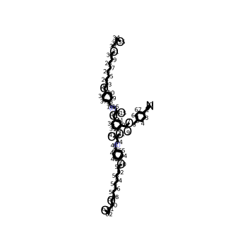 N#Cc1ccc(COC(=O)c2cc(OC(=O)/C=C/c3ccc(OCCCCCCCCOCC4CO4)cc3)ccc2OC(=O)/C=C/c2ccc(OCCCCCCCCOCC3CO3)cc2)cc1